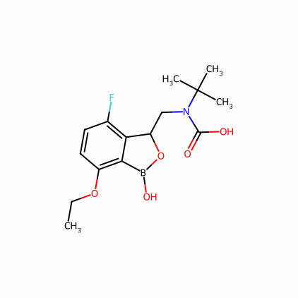 CCOc1ccc(F)c2c1B(O)OC2CN(C(=O)O)C(C)(C)C